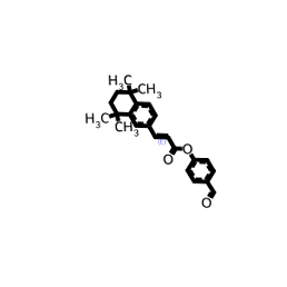 CC1(C)CCC(C)(C)c2cc(/C=C/C(=O)Oc3ccc(C=O)cc3)ccc21